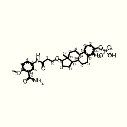 COc1ccc(NC(=O)CCOC2CCC3C4CCc5cc(OP(=O)(O)O)ccc5C4CCC23C)cc1C(N)=O